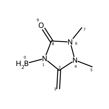 BN1C(=C)N(C)N(C)C1=O